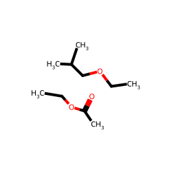 CCOC(C)=O.CCOCC(C)C